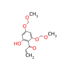 C=CC(=O)c1c(O)cc(OCOC)cc1OCOC